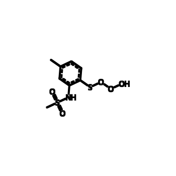 Cc1ccc(SOOO)c(NS(C)(=O)=O)c1